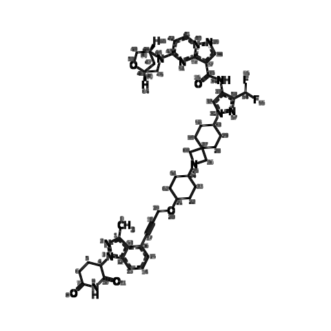 Cc1nn(C2CCC(=O)NC2=O)c2cccc(C#CCOC3CCC(N4CC5(CCC(n6cc(NC(=O)c7cnn8ccc(N9C[C@H]%10C[C@@H]9CO%10)nc78)c(C(F)F)n6)CC5)C4)CC3)c12